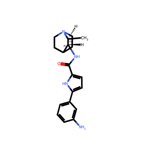 C[C@H]1[C@H](NC(=O)c2ccc(-c3cccc(N)c3)[nH]2)C2CCN1CC2